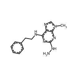 Cn1cnc2c(NCCc3ccccc3)nc(NN)nc21